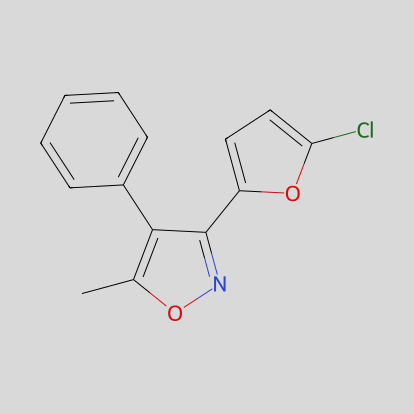 Cc1onc(-c2ccc(Cl)o2)c1-c1ccccc1